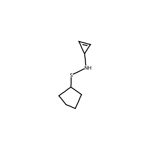 C1=CC1NSC1CCCC1